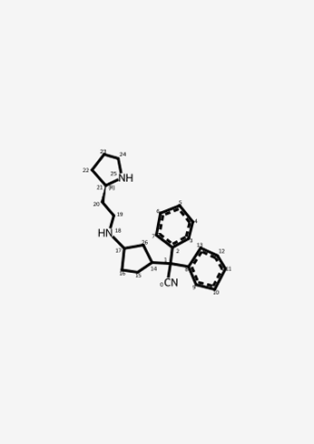 N#CC(c1ccccc1)(c1ccccc1)C1CCC(NCC[C@H]2CCCN2)C1